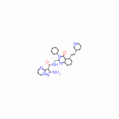 C[C@@H](NC(=O)c1c(N)nn2cccnc12)c1nc2cccc(/C=C/c3cccnc3)c2c(=O)n1-c1ccccc1